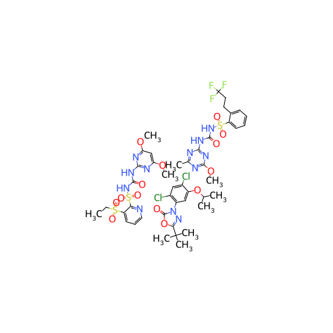 CC(C)Oc1cc(-n2nc(C(C)(C)C)oc2=O)c(Cl)cc1Cl.CCS(=O)(=O)c1cccnc1S(=O)(=O)NC(=O)Nc1nc(OC)cc(OC)n1.COc1nc(C)nc(NC(=O)NS(=O)(=O)c2ccccc2CCC(F)(F)F)n1